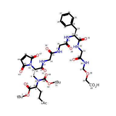 CC(=O)CC[C@@H](C(=O)OC(C)(C)C)N(C[C@@H](C(=O)NCC(=O)NCC(=O)N[C@@H](Cc1ccccc1)C(=O)NCC(=O)NCOCC(=O)O)N1C(=O)C=CC1=O)C(=O)OC(C)(C)C